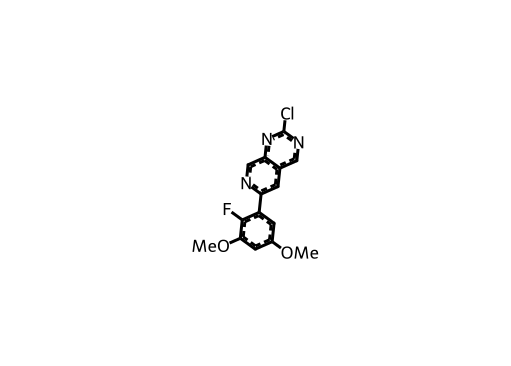 COc1cc(OC)c(F)c(-c2cc3cnc(Cl)nc3cn2)c1